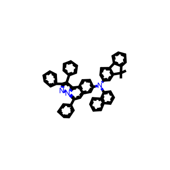 CC1(C)c2ccccc2-c2ccc(N(c3ccc4c(c3)cc(-c3ccccc3)n3nc(-c5ccccc5)c(-c5ccccc5)c43)c3cccc4ccccc34)cc21